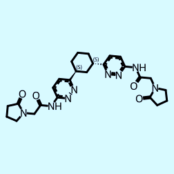 O=C(CN1CCCC1=O)Nc1ccc([C@H]2CCC[C@H](c3ccc(NC(=O)CN4CCCC4=O)nn3)C2)nn1